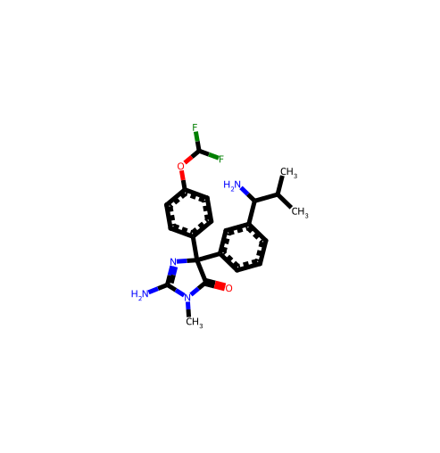 CC(C)C(N)c1cccc(C2(c3ccc(OC(F)F)cc3)N=C(N)N(C)C2=O)c1